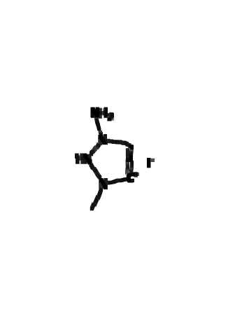 CN1[C+]=CN(N)N1.[I-]